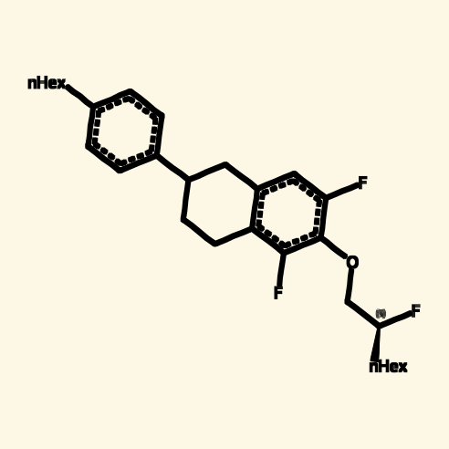 CCCCCCc1ccc(C2CCc3c(cc(F)c(OC[C@@H](F)CCCCCC)c3F)C2)cc1